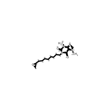 Cn1cnc2c1c(=O)n(CCCCCCCCC1CO1)c(=O)n2C